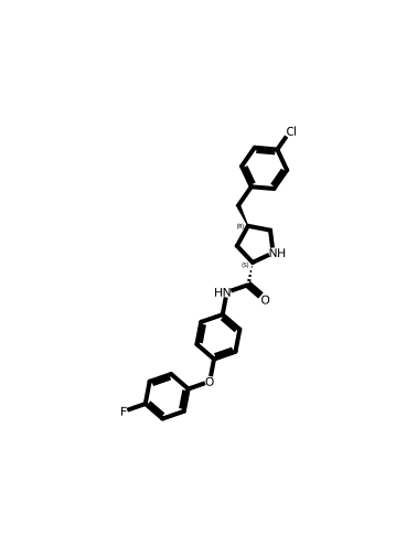 O=C(Nc1ccc(Oc2ccc(F)cc2)cc1)[C@@H]1C[C@@H](Cc2ccc(Cl)cc2)CN1